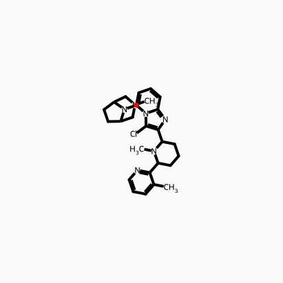 Cc1cccnc1C1CCCC(c2nc3cccc(N4C5CCC4CN(C)C5)n3c2Cl)N1C